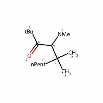 CCCCCC(C)(C)C(NC)C(=O)C(C)(C)C